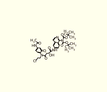 CC(=O)Nc1ccc(N(CCCl)C(=O)[C@H](O)[C@@H](O)C(=O)Nc2ccc3c(N(C(=O)OC(C)(C)C)C(=O)OC(C)(C)C)nccc3c2)cc1